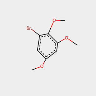 COc1cc(Br)c(OC)c(OC)c1